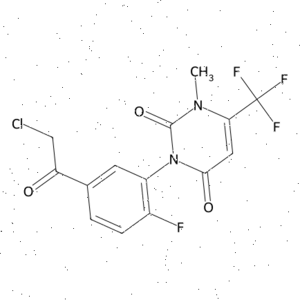 Cn1c(C(F)(F)F)cc(=O)n(-c2cc(C(=O)CCl)ccc2F)c1=O